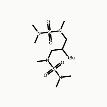 CN(C)S(=O)(=O)N(C)CC(CN(C)S(=O)(=O)N(C)C)C(C)(C)C